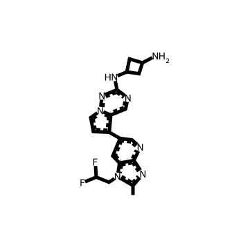 Cc1nc2ncc(-c3ccn4nc(NC5CC(N)C5)ncc34)cc2n1CC(F)F